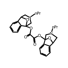 CCCN1CC2OC(OC(=O)C(=O)OC34CN(CCC)CC(O3)c3ccccc34)(C1)c1ccccc12